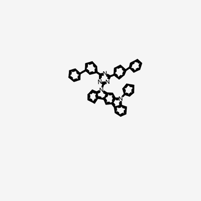 c1ccc(-c2ccc(-c3nc(-c4cccc(-c5ccccc5)c4)nc(-n4c5ccccc5c5cc6c7ccccc7n(-c7ccccc7)c6cc54)n3)cc2)cc1